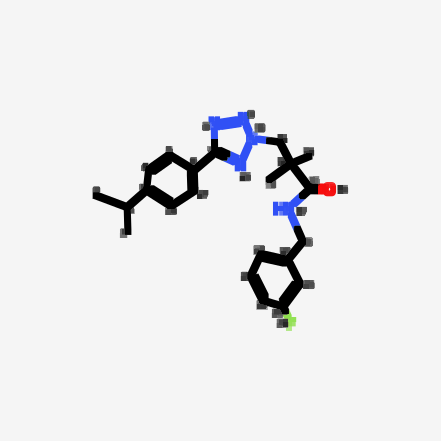 CC(C)c1ccc(-c2nnn(CC(C)(C)C(=O)NCc3cccc(F)c3)n2)cc1